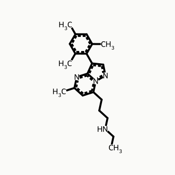 CCNCCCc1cc(C)nc2c(-c3c(C)cc(C)cc3C)cnn12